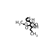 CCCC1=C(C(=O)OCC)C(c2cccs2)NC(=O)N1